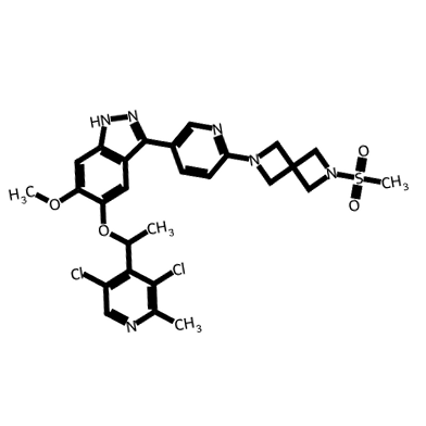 COc1cc2[nH]nc(-c3ccc(N4CC5(C4)CN(S(C)(=O)=O)C5)nc3)c2cc1OC(C)c1c(Cl)cnc(C)c1Cl